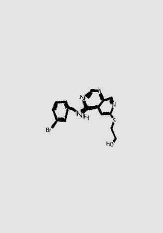 OCCSc1cc2c(Nc3cccc(Br)c3)ncnc2cn1